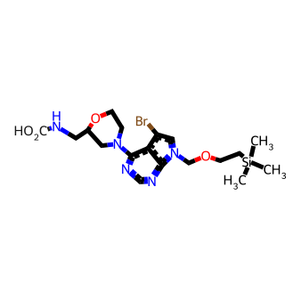 C[Si](C)(C)CCOCn1cc(Br)c2c(N3CCOC(CNC(=O)O)C3)ncnc21